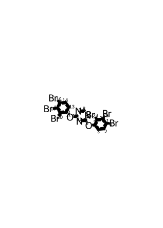 Brc1ccc(Oc2ncnc(Oc3ccc(Br)c(Br)c3Br)n2)c(Br)c1Br